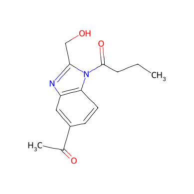 CCCC(=O)n1c(CO)nc2cc(C(C)=O)ccc21